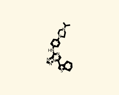 CC(C)N1CCN(c2ccc(Nc3ncc(-c4csc5ccccc45)n4ncnc34)cc2)CC1